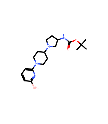 Bc1cccc(N2CCC(N3CCC(NC(=O)OC(C)(C)C)C3)CC2)n1